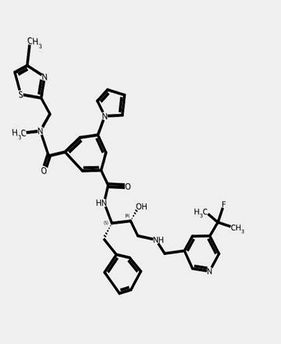 Cc1csc(CN(C)C(=O)c2cc(C(=O)N[C@@H](Cc3ccccc3)[C@H](O)CNCc3cncc(C(C)(C)F)c3)cc(-n3cccc3)c2)n1